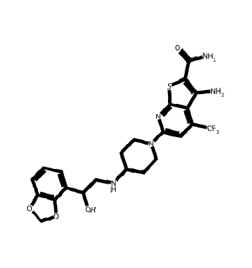 NC(=O)c1sc2nc(N3CCC(NCC(O)c4cccc5c4OCO5)CC3)cc(C(F)(F)F)c2c1N